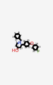 OC1CCN(Cc2ccccc2)C(c2ccc(Oc3ccc(F)cc3)cc2)C1